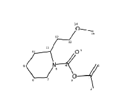 C=C(C)OC(=O)N1CCCCC1CCOC